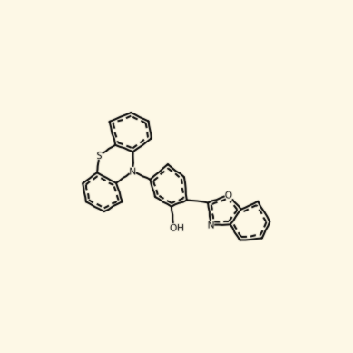 Oc1cc(N2c3ccccc3Sc3ccccc32)ccc1-c1nc2ccccc2o1